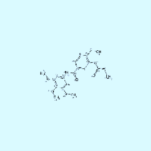 CCC(=O)Oc1cc(C(=O)Nc2cc(OC)c(OC)c(OC)c2)ccc1CO